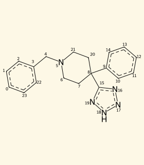 c1ccc(CN2CCC(c3ccccc3)(c3nn[nH]n3)CC2)cc1